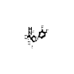 CC1(C(N)=O)CCN(c2ccc(Cl)c(F)c2)C1